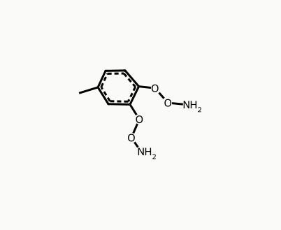 Cc1ccc(OON)c(OON)c1